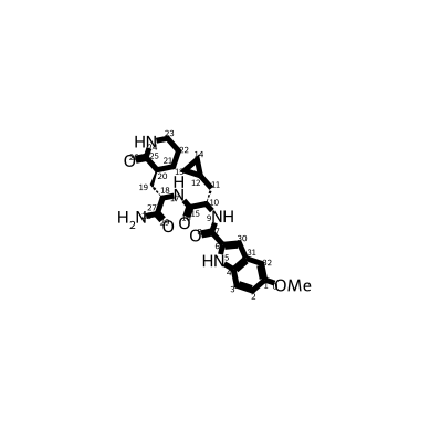 COc1ccc2[nH]c(C(=O)N[C@@H](CC3CC3)C(=O)N[C@@H](C[C@@H]3CCCNC3=O)C(N)=O)cc2c1